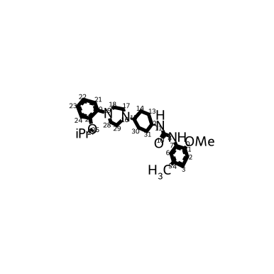 COc1ccc(C)cc1NC(=O)N[C@H]1CC[C@@H](N2CCN(c3ccccc3OC(C)C)CC2)CC1